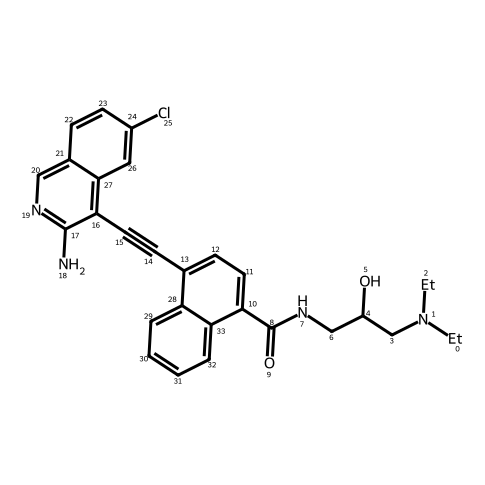 CCN(CC)CC(O)CNC(=O)c1ccc(C#Cc2c(N)ncc3ccc(Cl)cc23)c2ccccc12